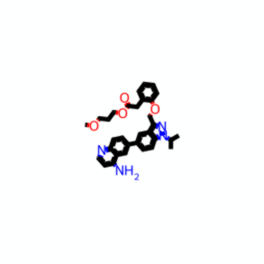 COCCCOC(=O)Cc1ccccc1OCc1nn(C(C)C)c2ccc(-c3ccc4nccc(N)c4c3)cc12